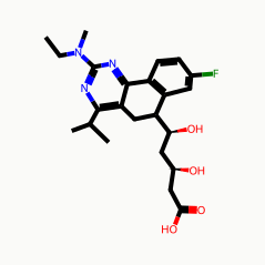 CCN(C)c1nc2c(c(C(C)C)n1)CC([C@@H](O)C[C@@H](O)CC(=O)O)c1cc(F)ccc1-2